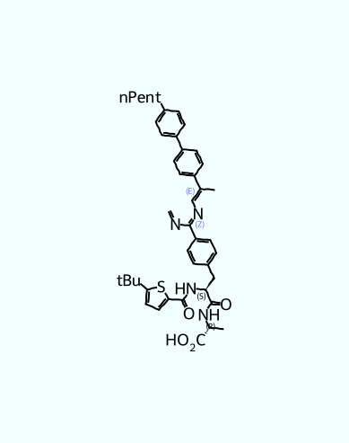 C=N/C(=N\C=C(/C)c1ccc(-c2ccc(CCCCC)cc2)cc1)c1ccc(C[C@H](NC(=O)c2ccc(C(C)(C)C)s2)C(=O)N[C@H](C)C(=O)O)cc1